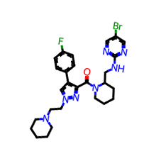 O=C(c1nn(CCN2CCCCC2)cc1-c1ccc(F)cc1)N1CCCCC1CNc1ncc(Br)cn1